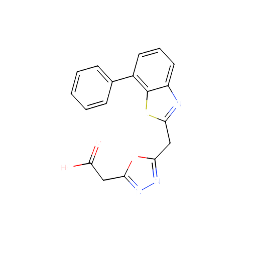 O=C(O)Cc1nnc(Cc2nc3cccc(-c4ccccc4)c3s2)o1